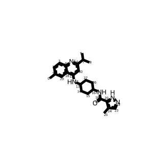 Cc1ccc2nc(C(C)C)cc(NC3CCC(NC(=O)c4[nH]ncc4C)CC3)c2c1